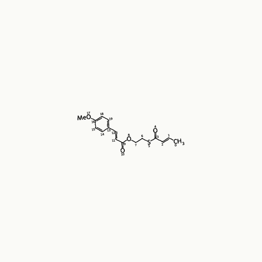 CC=CC(=O)SCCOC(=O)C=Cc1ccc(OC)cc1